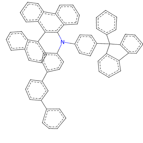 c1ccc(-c2cccc(-c3ccc(N(c4ccc(C5(c6ccccc6)c6ccccc6-c6ccccc65)cc4)c4c(-c5cccc6ccccc56)c5ccccc5c5ccccc45)cc3)c2)cc1